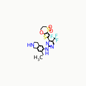 CCc1cc2c(cc1Nc1ncc(C(F)(F)F)c(-c3cc4c(s3)OCCCS4(=O)=O)n1)CCNC2